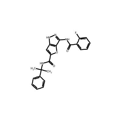 CC(C)(NC(=O)c1cc2[nH]nc(NC(=O)c3ccccc3F)c2o1)c1ccccc1